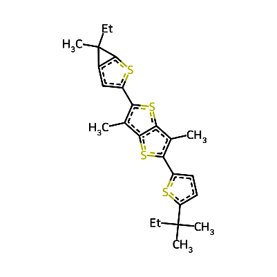 CCC(C)(C)c1ccc(-c2sc3c(C)c(-c4cc5c(s4)C5(C)CC)sc3c2C)s1